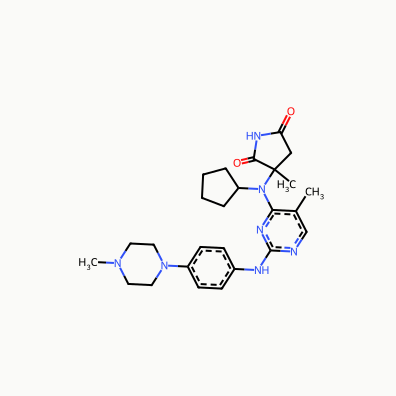 Cc1cnc(Nc2ccc(N3CCN(C)CC3)cc2)nc1N(C1CCCC1)C1(C)CC(=O)NC1=O